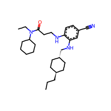 CCC[C@H]1CC[C@H](CNc2cc(C#N)ccc2NCCC(=O)N(CC)C2CCCCC2)CC1